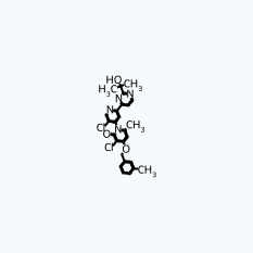 Cc1cccc(COc2cc(C)n(-c3cc(-c4ccnc(C(C)(C)O)n4)ncc3Cl)c(=O)c2Cl)c1